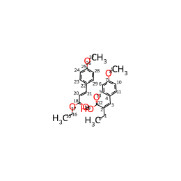 CCC(=Cc1ccc(OC)cc1)C(=O)O.CCOC(=O)C=Cc1ccc(OC)cc1